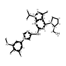 COc1cc(-n2cnc(Nc3nc(N4CCC[C@H]4CO)c4c(C)nn(C(C)C)c4n3)c2)cc(C)c1C